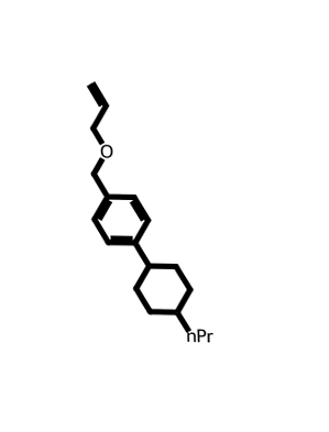 C=CCOCc1ccc(C2CCC(CCC)CC2)cc1